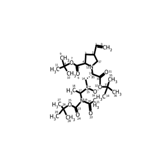 C=CC1CC(C(=O)OC(C)(C)C)N([C@@H](C[S+]([O-])C(C)N(C(C)=O)C(=O)OC(C)(C)C)C(=O)OC(C)(C)C)C1